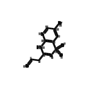 O=CCC1=NS(=O)(=O)c2cc(Br)cnc2N1